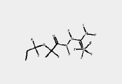 CCC(F)(F)OC(C)(F)C(=O)N(F)N(F)C(N(F)F)=S(F)(F)(F)F